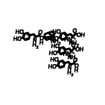 C[C@@](Cc1ccc(O)c(O)c1)(NN)C(=O)O.C[C@@](Cc1ccc(O)c(O)c1)(NN)C(=O)O.NC12CC3CC(CC(C3)C1)C2.N[C@@H](Cc1ccc(O)c(O)c1)C(=O)O.N[C@@H](Cc1ccc(O)c(O)c1)C(=O)O